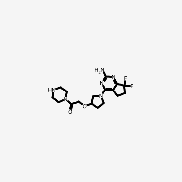 Nc1nc(N2CCC(OCC(=O)N3CCNCC3)C2)c2c(n1)C(F)(F)CC2